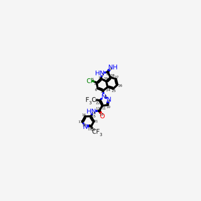 N=C1Nc2c(Cl)cc(-n3ncc(C(=O)Nc4ccnc(C(F)(F)F)c4)c3C(F)(F)F)c3cccc1c23